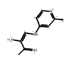 CC(=N)/C(N)=C\Nc1ccnc(C)c1